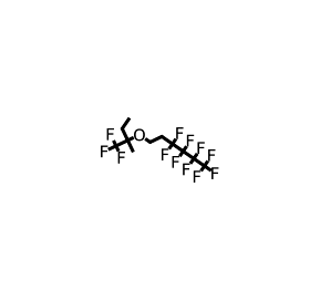 CCC(C)(OCCC(F)(F)C(F)(F)C(F)(F)C(F)(F)F)C(F)(F)F